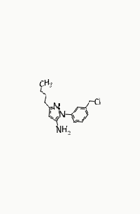 CCCCc1cc(N)n(-c2cccc(CCl)c2)n1